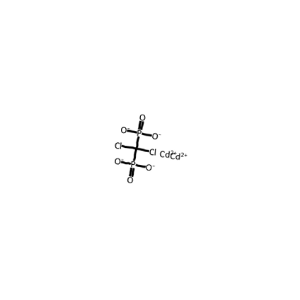 O=P([O-])([O-])C(Cl)(Cl)P(=O)([O-])[O-].[Cd+2].[Cd+2]